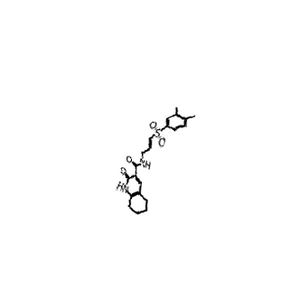 Cc1ccc(S(=O)(=O)/C=C/CNC(=O)c2cc3c([nH]c2=O)CCCC3)cc1C